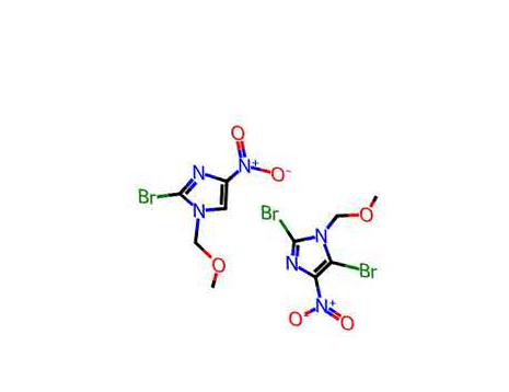 COCn1c(Br)nc([N+](=O)[O-])c1Br.COCn1cc([N+](=O)[O-])nc1Br